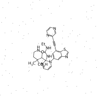 CCNC(=O)NC1(C2CNCCC2(C)C(=O)O)N=CC=CN1c1cc(C#Cc2cnccn2)c2scnc2c1